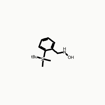 CC(C)(C)[Si](C)(C)c1ccccc1CNO